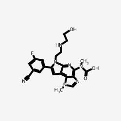 CN(C(=O)O)c1nc2c(cc(-c3cc(F)cc(C#N)c3)n2CCNCCO)c2c1ncn2C